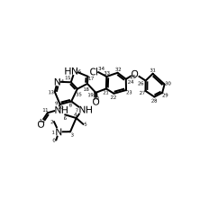 CN(C)CC(C)(C)Nc1c(NC=O)cnc2[nH]cc(C(=O)c3ccc(Oc4ccccc4)cc3Cl)c12